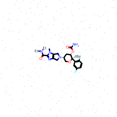 CCN(CC)C(=O)c1nc2c(n1C)CN([C@H]1CO[C@@](c3cc(F)ccc3F)(C(C)(C)C)[C@@H](OC(N)=O)C1)C2